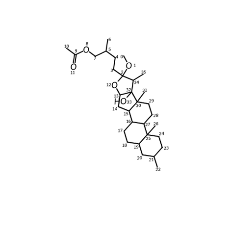 COC1(CCC(C)COC(C)=O)OC2CC3C4CCC5CC(C)CCC5(C)C4CCC3(C)C2(O)C1C